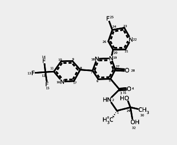 C[C@H](NC(=O)c1cc(-c2ccc(C(F)(F)F)nc2)nn(-c2cncc(F)c2)c1=O)C(C)(O)O